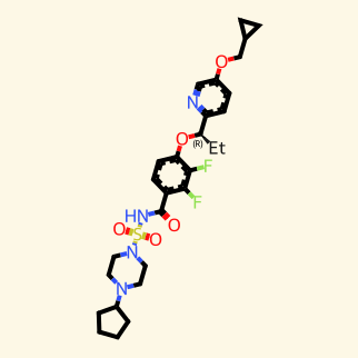 CC[C@@H](Oc1ccc(C(=O)NS(=O)(=O)N2CCN(C3CCCC3)CC2)c(F)c1F)c1ccc(OCC2CC2)cn1